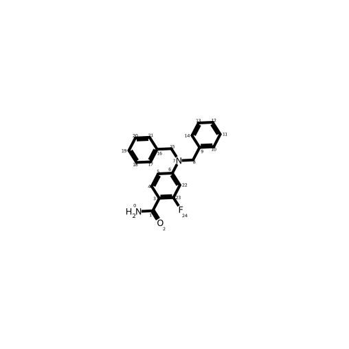 NC(=O)c1ccc(N(Cc2ccccc2)Cc2ccccc2)cc1F